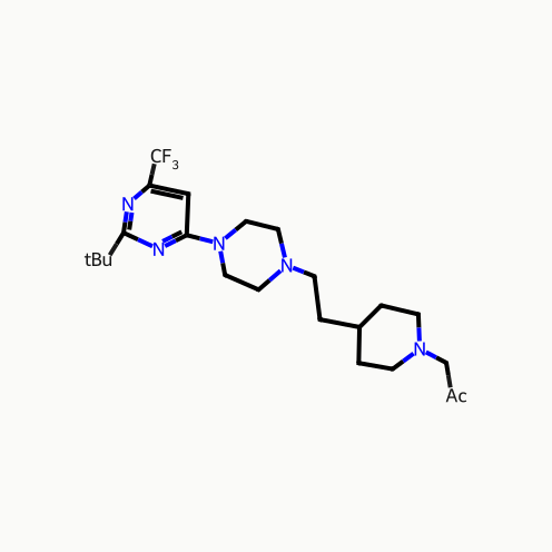 CC(=O)CN1CCC(CCN2CCN(c3cc(C(F)(F)F)nc(C(C)(C)C)n3)CC2)CC1